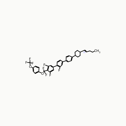 CCC/C=C/C1CCC(c2ccc(-c3ccc(-c4cc(F)c(C(F)(F)Oc5ccc(OC(F)(F)F)cc5)c(F)c4)c(F)c3)cc2)CC1